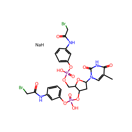 Cc1cn(C2CC(OP(=O)(O)Oc3cccc(NC(=O)CBr)c3)C(COP(=O)(O)Oc3cccc(NC(=O)CBr)c3)O2)c(=O)[nH]c1=O.[NaH]